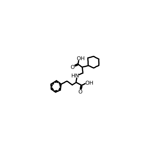 O=C(O)C(CCc1ccccc1)NCC(C(=O)O)C1CCCCC1